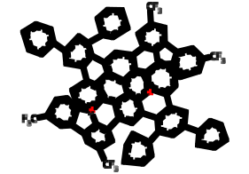 FC(F)(F)c1ccc2c(c1)-c1cc(C(F)(F)F)cc3c1B2c1cc2c(-c4c(-c5ccccc5)cc(-c5ccccc5)cc4-c4ccccc4)cc4c5c(cc6c(-c7c(-c8ccccc8)cc(-c8ccccc8)cc7-c7ccccc7)cc-3c1c6c25)B1c2ccc(C(F)(F)F)cc2-c2cc(C(F)(F)F)cc-4c21